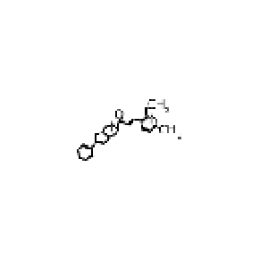 CCc1nc(C)ccc1/C=C/C(=O)N1CC2C=C(c3ccccc3)CC2C1